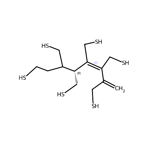 C=C(CS)/C(CS)=C(/CS)[C@H](CS)C(CS)CCS